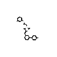 Cc1cccc(NC(=O)CN2C(=O)N/C(=C\C3C=CC=C(c4ccc(C(=O)O)cc4)C3)C2=O)c1